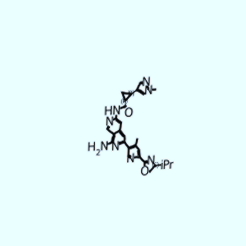 Cc1cc(C2=N[C@@H](C(C)C)CO2)ncc1-c1cc2cc(NC(=O)[C@@H]3C[C@H]3c3cnn(C)c3)ncc2c(N)n1